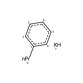 CCCc1ccccc1.[KH]